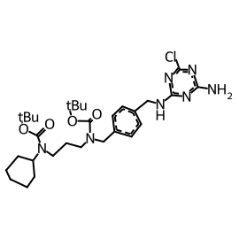 CC(C)(C)OC(=O)N(CCCN(C(=O)OC(C)(C)C)C1CCCCC1)Cc1ccc(CNc2nc(N)nc(Cl)n2)cc1